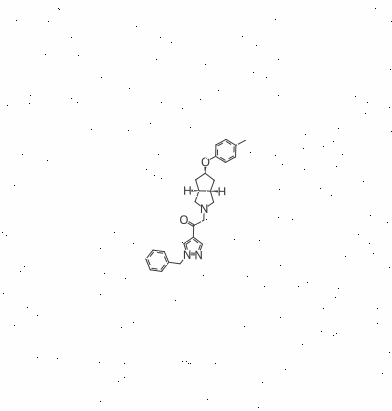 Cc1ccc(O[C@H]2C[C@@H]3CN(CC(=O)c4cnn(Cc5ccccc5)c4)C[C@@H]3C2)cc1